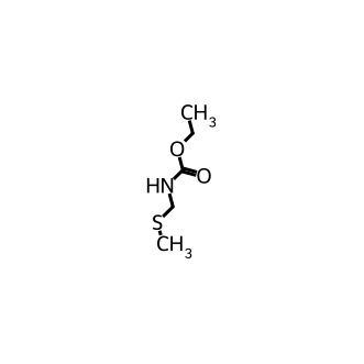 CCOC(=O)NCSC